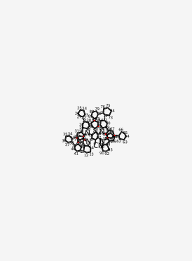 N#Cc1c(-n2c3ccccc3c3ccccc32)c(-n2c3ccc(-c4ccccc4)cc3c3cc(-c4ccccc4-c4ccccc4)ccc32)c(-c2ccccc2)c(-n2c3ccc(-c4ccccc4)cc3c3cc(-c4ccccc4-c4ccccc4)ccc32)c1-n1c2ccccc2c2ccccc21